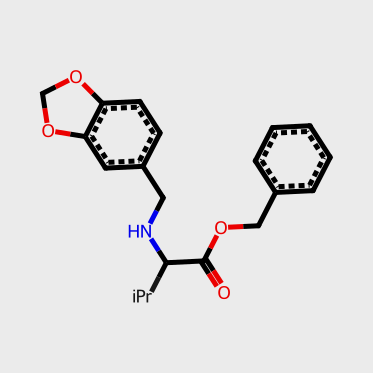 CC(C)C(NCc1ccc2c(c1)OCO2)C(=O)OCc1ccccc1